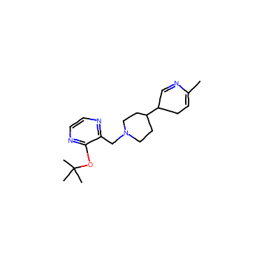 CC1=CCC(C2CCN(Cc3nccnc3OC(C)(C)C)CC2)C=N1